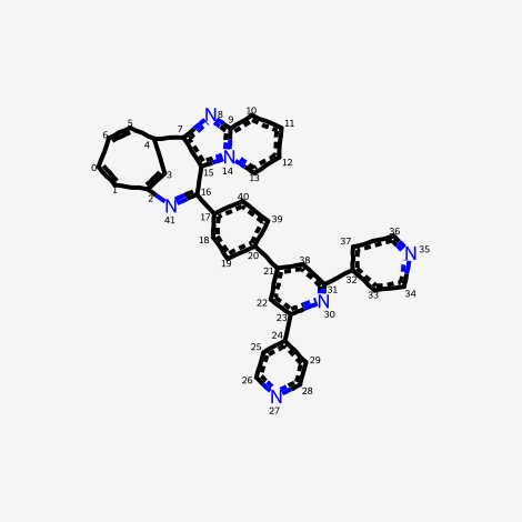 C1=CC2=CC(C=C1)c1nc3ccccn3c1C(c1ccc(-c3cc(-c4ccncc4)nc(-c4ccncc4)c3)cc1)=N2